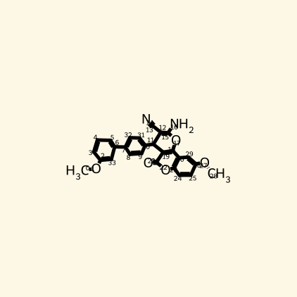 COc1cccc(-c2ccc(C3C(C#N)=C(N)Oc4c3c(=O)oc3ccc(OC)cc43)cc2)c1